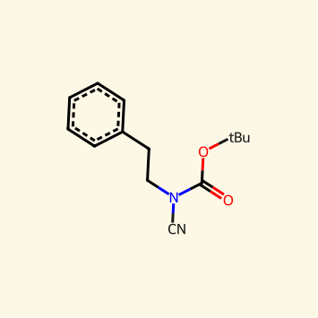 CC(C)(C)OC(=O)N(C#N)CCc1ccccc1